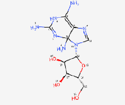 NC1=NC2(N)C(=C(N)N1)N=CN2[C@@H]1O[C@H](CO)[C@@H](O)[C@H]1O